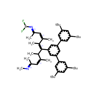 C/N=C(C)/C=C(/C)C(C)/C(=C(C)/C(C)=C\C(C)=N\B(F)F)c1cc(-c2cc(C(C)(C)C)cc(C(C)(C)C)c2)cc(-c2cc(C(C)(C)C)cc(C(C)(C)C)c2)c1